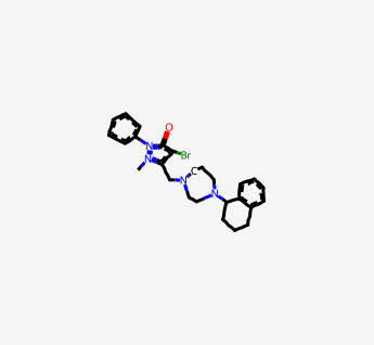 Cn1c(CN2CCCN(C3CCCc4ccccc43)CC2)c(Br)c(=O)n1-c1ccccc1